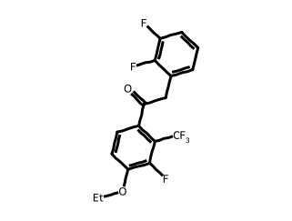 CCOc1ccc(C(=O)Cc2cccc(F)c2F)c(C(F)(F)F)c1F